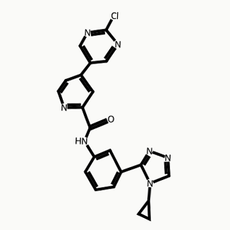 O=C(Nc1cccc(-c2nncn2C2CC2)c1)c1cc(-c2cnc(Cl)nc2)ccn1